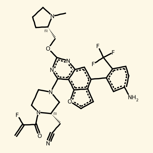 C=C(F)C(=O)N1CCN(c2nc(OC[C@@H]3CCCN3C)nc3cc(-c4cc(N)ccc4C(F)(F)F)c4ccoc4c23)C[C@@H]1CC#N